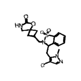 Cn1ncc(Cl)c1CC1c2ccccc2S(=O)(=O)N1CC1CC2(CNC(=O)O2)C1